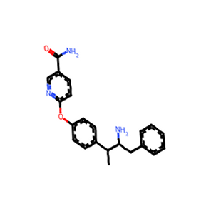 CC(c1ccc(Oc2ccc(C(N)=O)cn2)cc1)C(N)Cc1ccccc1